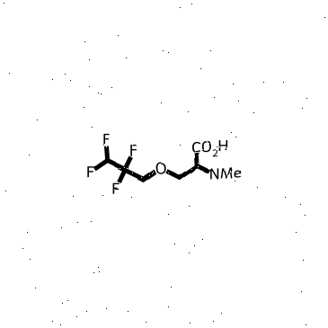 CNC(COCC(F)(F)C(F)F)C(=O)O